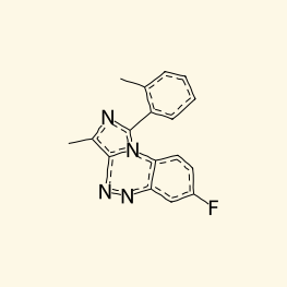 Cc1ccccc1-c1nc(C)c2nnc3cc(F)ccc3n12